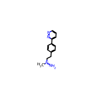 CN(N)CCc1ccc(-c2cccnn2)cc1